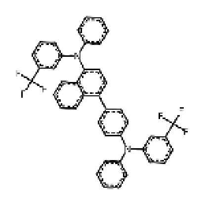 FC(F)(F)c1cccc(N(c2ccccc2)c2ccc(-c3ccc(N(c4ccccc4)c4cccc(C(F)(F)F)c4)c4ccccc34)cc2)c1